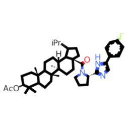 CC(=O)O[C@H]1CC[C@@]2(C)C(CC[C@]3(C)C2CC[C@@H]2C4C(C(C)C)CC[C@]4(C(=O)N4CCC[C@H]4c4ncc(-c5ccc(F)cc5)[nH]4)CC[C@]23C)C1(C)C